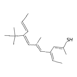 C/C=C(\C=C(/C)S)/C=C(C)/C=C(\C=C\C)C(C)(C)C